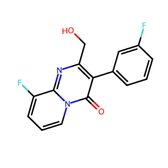 O=c1c(-c2cccc(F)c2)c(CO)nc2c(F)cccn12